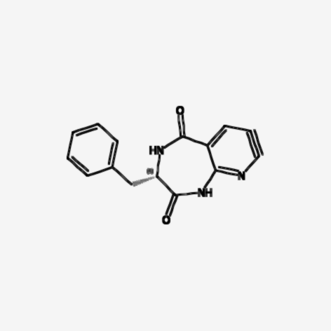 O=C1N[C@@H](Cc2ccccc2)C(=O)Nc2nc#ccc21